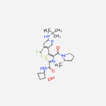 C[C@H]1CCCN1C(=O)c1nc(C(=O)N[C@@H]2CC[C@H]2O)sc1-c1cnc(NC(C)(C)C)cc1C(F)F